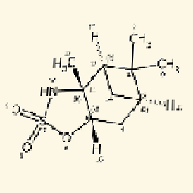 CC1(C)[C@H]2C[C@@H]3OS(=O)(=O)N[C@]3(C)[C@@H]1C2